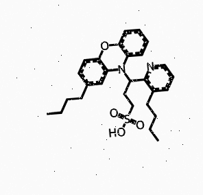 CCCCc1ccc2c(c1)N(C(CCS(=O)(=O)O)c1ncccc1CCCC)c1ccccc1O2